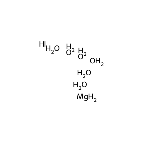 I.O.O.O.O.O.O.[MgH2]